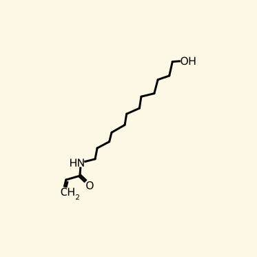 C=CC(=O)NCCCCCCCCCCCCO